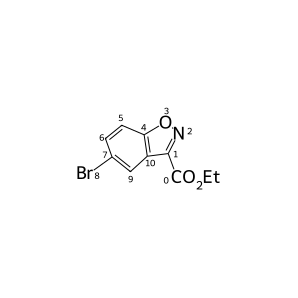 CCOC(=O)c1noc2ccc(Br)cc12